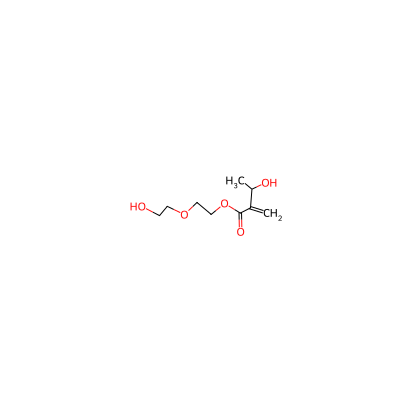 C=C(C(=O)OCCOCCO)C(C)O